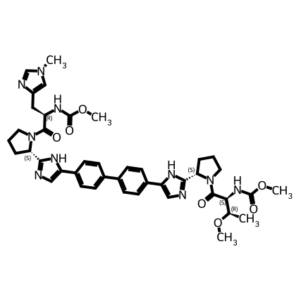 COC(=O)N[C@H](C(=O)N1CCC[C@H]1c1ncc(-c2ccc(-c3ccc(-c4cnc([C@@H]5CCCN5C(=O)[C@@H](Cc5cn(C)cn5)NC(=O)OC)[nH]4)cc3)cc2)[nH]1)[C@@H](C)OC